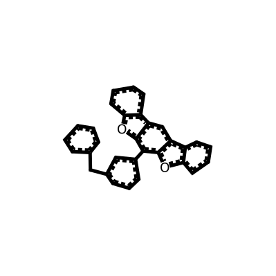 c1ccc(Cc2cccc(-c3c4oc5ccccc5c4cc4c3oc3ccccc34)c2)cc1